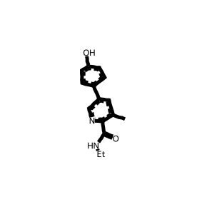 CCNC(=O)c1ncc(-c2ccc(O)cc2)cc1C